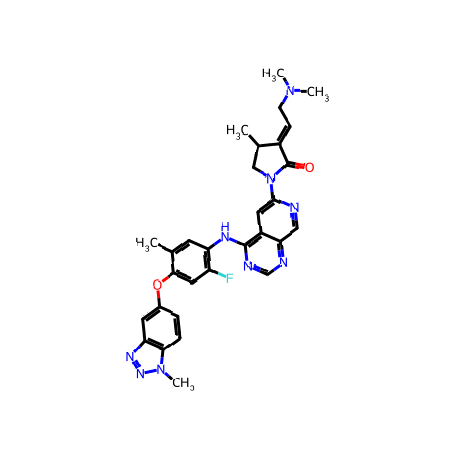 Cc1cc(Nc2ncnc3cnc(N4CC(C)/C(=C\CN(C)C)C4=O)cc23)c(F)cc1Oc1ccc2c(c1)nnn2C